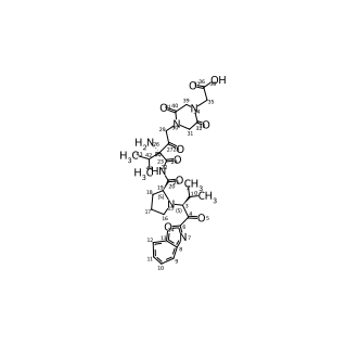 CC(C)[C@@H](C(=O)c1nc2ccccc2o1)N1CCC[C@H]1C(=O)NC(=O)[C@](N)(C(=O)CN1CC(=O)N(CC(=O)O)CC1=O)C(C)C